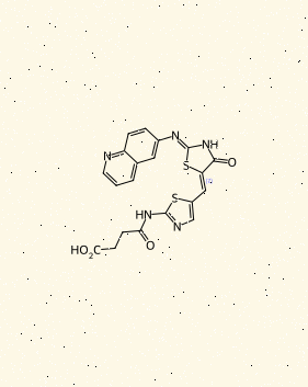 O=C(O)CCC(=O)Nc1ncc(/C=C2\SC(=Nc3ccc4ncccc4c3)NC2=O)s1